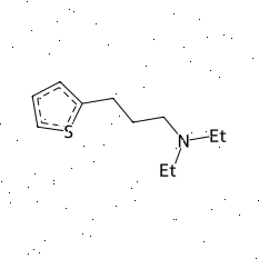 CCN(CC)CCCc1cccs1